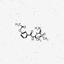 C=C(NC(=O)c1cccc(OC(C)=O)c1)S/C(=C\N)S(C)(=O)=O